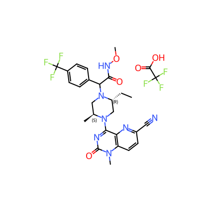 CC[C@@H]1CN(c2nc(=O)n(C)c3ccc(C#N)nc23)[C@@H](C)CN1C(C(=O)NOC)c1ccc(C(F)(F)F)cc1.O=C(O)C(F)(F)F